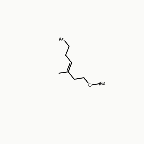 CCC(C)OCCC(C)=CCCC(C)=O